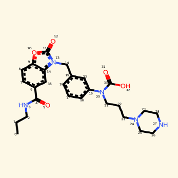 CCCNC(=O)c1ccc2oc(=O)n(Cc3cccc(N(CCCN4CCNCC4)C(=O)O)c3)c2c1